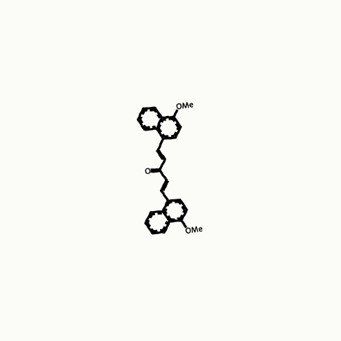 COc1ccc(C=CC(=O)C=Cc2ccc(OC)c3ccccc23)c2ccccc12